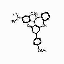 COc1ccc(C2CC(=O)C3=C(C2)Nc2ccccc2N(C(C)=O)C3c2ccc(N(C(C)C)C(C)C)cc2OC(C)=O)cc1